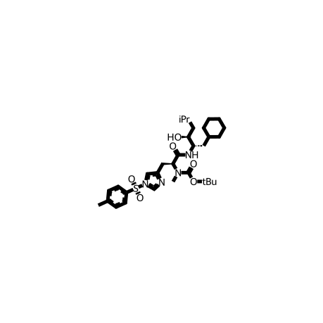 Cc1ccc(S(=O)(=O)n2cnc(C[C@@H](C(=O)N[C@@H](CC3CCCCC3)[C@@H](O)CC(C)C)N(C)C(=O)OC(C)(C)C)c2)cc1